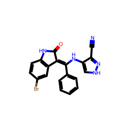 N#Cc1n[nH]cc1N/C(=C1\C(=O)Nc2ccc(Br)cc21)c1ccccc1